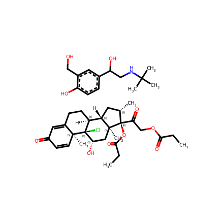 CC(C)(C)NCC(O)c1ccc(O)c(CO)c1.CCC(=O)OCC(=O)[C@@]1(OC(=O)CC)[C@@H](C)C[C@H]2[C@@H]3CCC4=CC(=O)C=C[C@]4(C)[C@@]3(Cl)[C@@H](O)C[C@@]21C